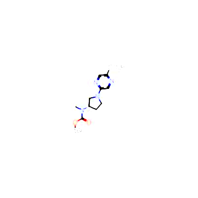 CN(C(=O)OC(C)(C)C)[C@@H]1CCN(c2cnc(C(=O)O)cn2)C1